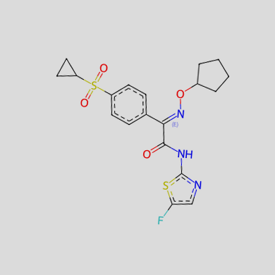 O=C(Nc1ncc(F)s1)/C(=N/OC1CCCC1)c1ccc(S(=O)(=O)C2CC2)cc1